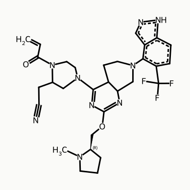 C=CC(=O)N1CCN(C2=NC(OC[C@H]3CCCN3C)=NC3CN(c4c(C(F)(F)F)ccc5[nH]ncc45)CCC23)CC1CC#N